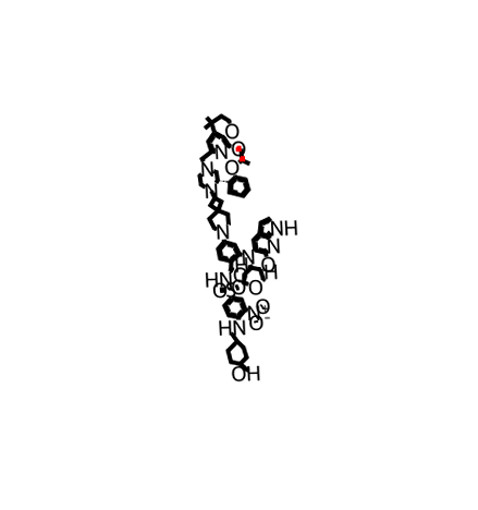 COc1nc(CN2CCN(C3CC4(CCN(c5ccc(C(=O)NS(=O)(=O)c6ccc(NCC7CCC(C)(O)CC7)c([N+](=O)[O-])c6)c(N6c7cc8cc[nH]c8nc7O[C@H]7COCC[C@@H]76)c5)CC4)C3)[C@@H](c3ccccc3OC(C)C)C2)cc2c1OCCC2(C)C